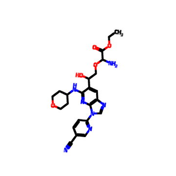 CCOC(=O)C(N)OCC(O)c1cc2ncn(-c3ccc(C#N)cn3)c2nc1NC1CCOCC1